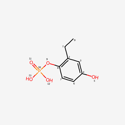 CCc1cc(O)ccc1OP(=O)(O)O